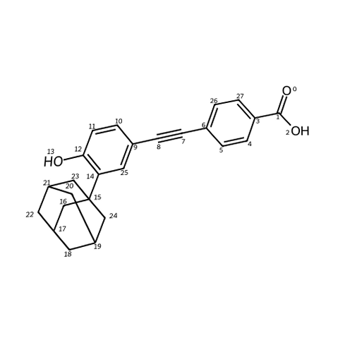 O=C(O)c1ccc(C#Cc2ccc(O)c(C34CC5CC(CC(C5)C3)C4)c2)cc1